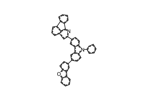 c1ccc(-n2c3ccc(-c4ccc5oc6ccccc6c5c4)cc3c3cc(-c4cc5cccc6c5c(n4)-c4ccccc4-6)ccc32)cc1